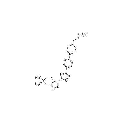 CCOC(=O)CCN1CCN(c2ccc(-c3noc(-c4noc5c4CCC(C)(C)C5)n3)cc2)CC1